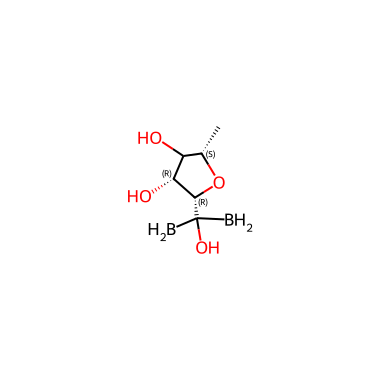 BC(B)(O)[C@H]1O[C@@H](C)C(O)[C@H]1O